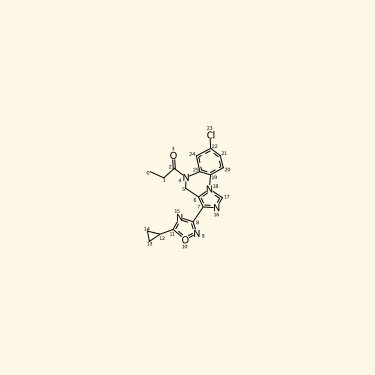 CCC(=O)N1Cc2c(-c3noc(C4CC4)n3)ncn2-c2ccc(Cl)cc21